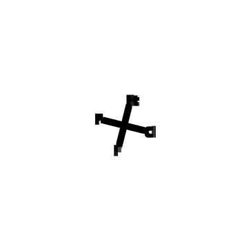 CCC(F)(F)Cl